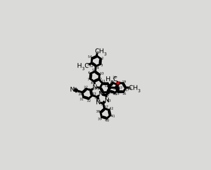 Cc1ccc(-c2ccc3c(c2)c2cc(-c4ccc(C)cc4C)ccc2n3-c2cc(C#N)ccc2-c2nc(-c3ccccc3)nc(-c3ccccc3)n2)c(C)c1